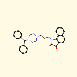 O=C1C(=O)N(CCCN2CCN(C(c3ccccc3)c3ccccc3)CC2)c2c1ccc1ccccc21